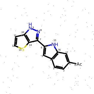 CC(=O)c1ccc2cc(-c3n[nH]c4ccsc34)[nH]c2c1